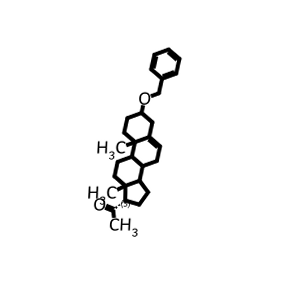 CC(=O)[C@H]1CCC2C3CC=C4CC(OCc5ccccc5)CCC4(C)C3CCC21C